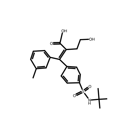 Cc1cccc(C(=C(CCO)C(=O)O)c2ccc(S(=O)(=O)NC(C)(C)C)cc2)c1